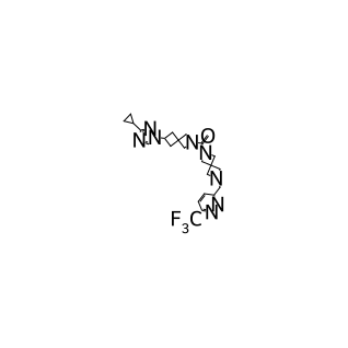 O=C(N1CC2(CC(n3cnc(C4CC4)n3)C2)C1)N1CC2(CN(Cc3ccc(C(F)(F)F)nn3)C2)C1